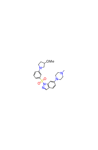 COC1CCN(c2cccc(S(=O)(=O)n3ncc4ccc(N5CCN(C)CC5)cc43)c2)C1